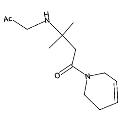 CC(=O)CNC(C)(C)CC(=O)N1CC=CCC1